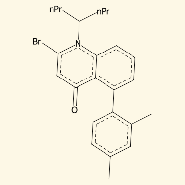 CCCC(CCC)n1c(Br)cc(=O)c2c(-c3ccc(C)cc3C)cccc21